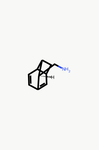 NC[C@H]1C2=CC3CC1C3C=C2